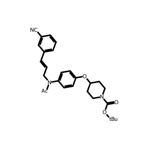 CC(=O)N(C/C=C/c1cccc(C#N)c1)c1ccc(OC2CCN(C(=O)OC(C)(C)C)CC2)cc1